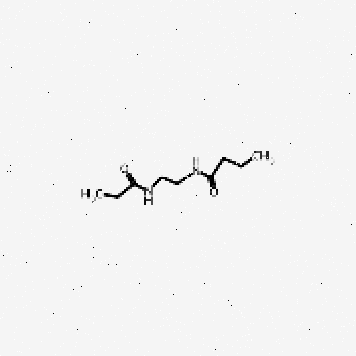 CCCC(=O)NCCNC(=O)CC